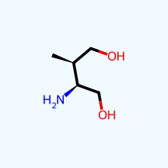 C[C@@H](CO)[C@H](N)CO